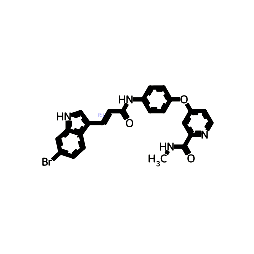 CNC(=O)c1cc(Oc2ccc(NC(=O)/C=C/c3c[nH]c4cc(Br)ccc34)cc2)ccn1